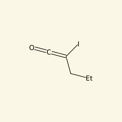 CCCC(I)=C=O